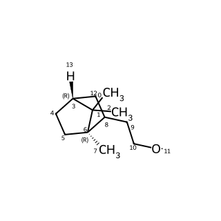 CC1(C)[C@@H]2CC[C@]1(C)C(CC[O])C2